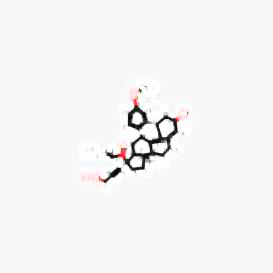 CCC(=O)[C@@]1(C#CCO)CC[C@H]2[C@@H]3CCC4=CC(=O)CCC4=C3[C@@H](c3ccc(OC)cc3)C[C@@]21C